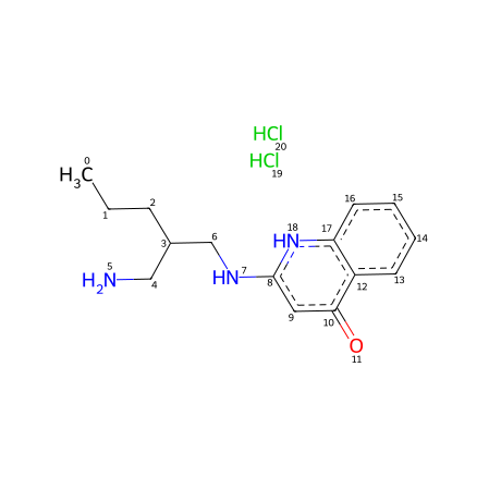 CCCC(CN)CNc1cc(=O)c2ccccc2[nH]1.Cl.Cl